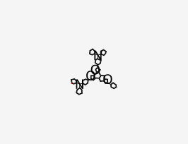 c1ccc(-c2cc3cc4c(cc3o2)c2cc(-c3ccc(N(c5ccccc5)c5ccccc5)cc3)oc2c2oc(-c3ccc(N(c5ccccc5)c5ccccc5)cc3)cc42)cc1